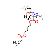 C=CC(=O)NC(C)(C)C(=O)OCCCCOC(=O)C=C